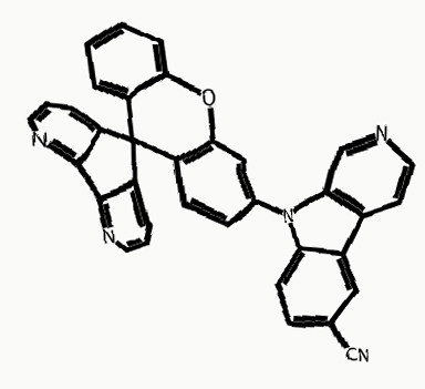 N#Cc1ccc2c(c1)c1ccncc1n2-c1ccc2c(c1)Oc1ccccc1C21c2cccnc2-c2ncccc21